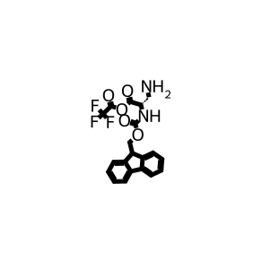 NC[C@H](NC(=O)OCC1c2ccccc2-c2ccccc21)C(=O)OC(=O)C(F)(F)F